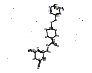 C/C=C\C(=C/C)CCN1CCN(C(=O)CSc2nc(CCC)cc(=O)[nH]2)CC1